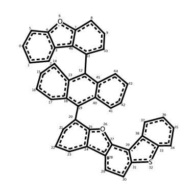 c1ccc2c(c1)oc1cccc(-c3c4ccccc4c(-c4cccc5c4oc4c5ccc5sc6ccccc6c54)c4ccccc34)c12